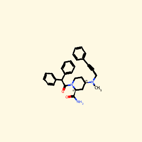 CN(CC#Cc1ccccc1)[C@@H]1CCN(C(=O)C(c2ccccc2)c2ccccc2)[C@H](C(N)=O)C1